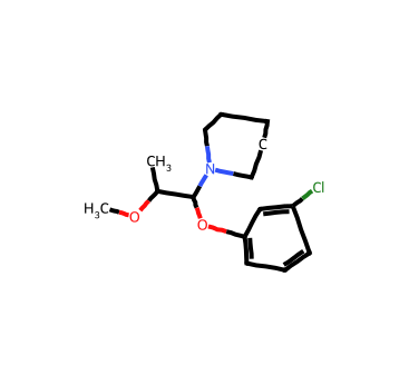 COC(C)C(Oc1cccc(Cl)c1)N1CCCCC1